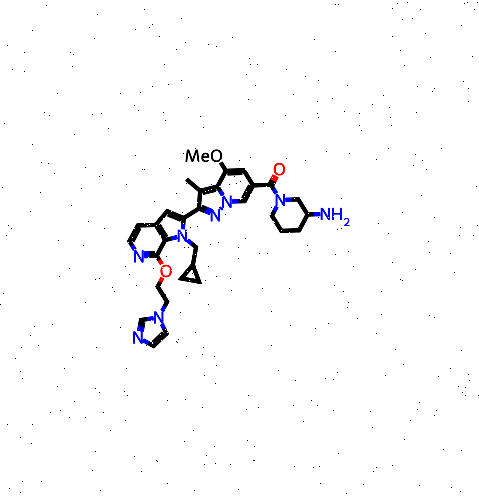 COc1cc(C(=O)N2CCCC(N)C2)cn2nc(-c3cc4ccnc(OCCn5ccnc5)c4n3CC3CC3)c(C)c12